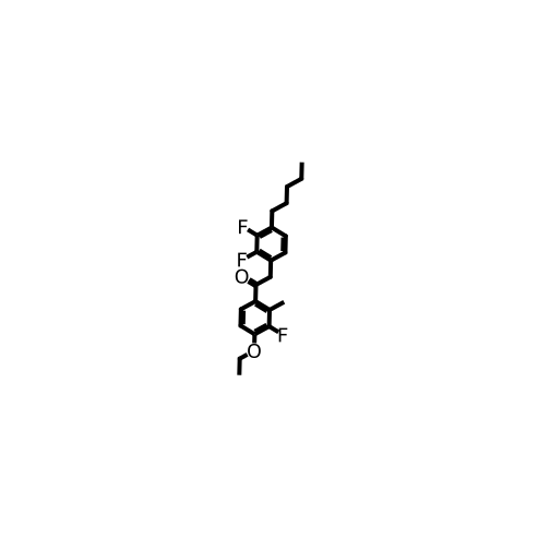 CCCCCc1ccc(CC(=O)c2ccc(OCC)c(F)c2C)c(F)c1F